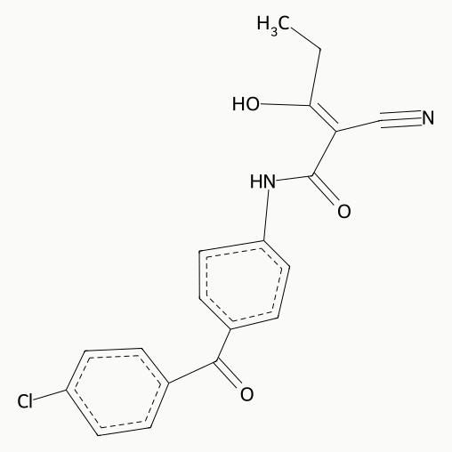 CCC(O)=C(C#N)C(=O)Nc1ccc(C(=O)c2ccc(Cl)cc2)cc1